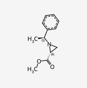 COC(=O)[C@H]1CN1[C@@H](C)c1ccccc1